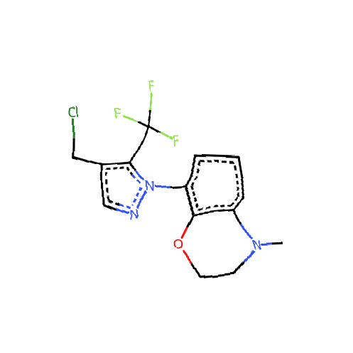 CN1CCOc2c1cccc2-n1ncc(CCl)c1C(F)(F)F